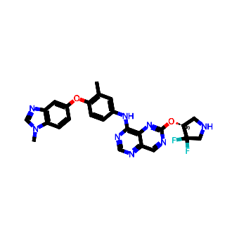 Cc1cc(Nc2ncnc3cnc(O[C@@H]4CNCC4(F)F)nc23)ccc1Oc1ccc2c(c1)ncn2C